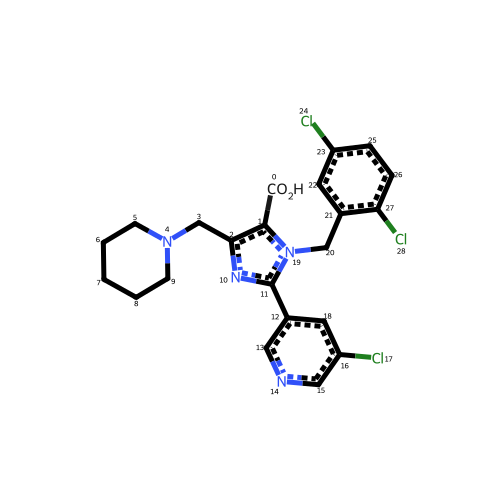 O=C(O)c1c(CN2CCCCC2)nc(-c2cncc(Cl)c2)n1Cc1cc(Cl)ccc1Cl